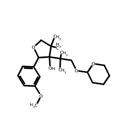 COc1cccc(C2OCC(C)(C)C2(O)C(C)(C)COC2CCCCO2)c1